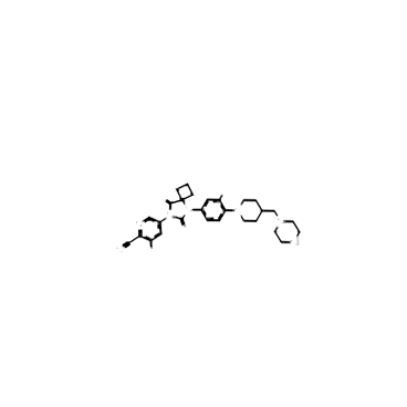 Cl.N#Cc1ncc(N2C(=O)C3(CCC3)N(c3ccc(N4CCC(CN5CCNCC5)CC4)c(F)c3)C2=S)cc1Cl